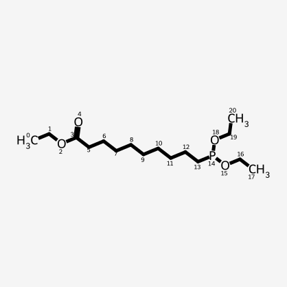 CCOC(=O)CCCCCCCCCP(OCC)OCC